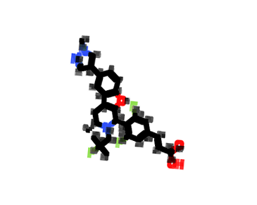 C[C@@H]1Cc2c(oc3ccc(-c4cnn(C)c4)cc23)[C@@H](c2c(F)cc(/C=C/C(=O)O)cc2F)N1CC(C)(C)F